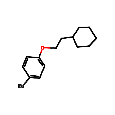 CCC(C)c1ccc(OCCC2CCCCC2)cc1